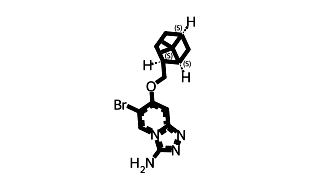 CC1(C)[C@H]2CC[C@H](COc3cc4nnc(N)n4cc3Br)[C@@H]1C2